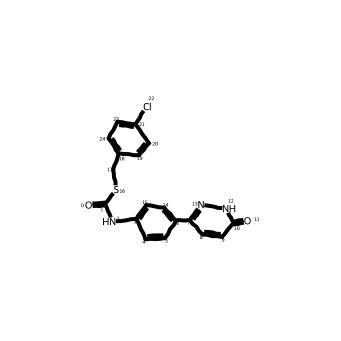 O=C(Nc1ccc(-c2ccc(=O)[nH]n2)cc1)SCc1ccc(Cl)cc1